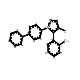 [CH2]c1cnn(-c2ccc(-c3ccccc3)cc2)c1-c1ccccc1F